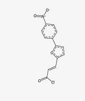 O=C(Cl)C=Cc1ccc(-c2ccc([N+](=O)[O-])cc2)o1